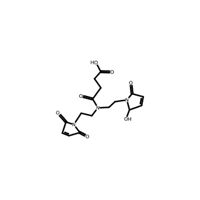 O=C(O)CCC(=O)N(CCN1C(=O)C=CC1=O)CCN1C(=O)C=CC1O